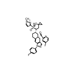 Cn1ccc(S(=O)(=O)N(CC2(O)CC2)[C@H]2CCC3=Cc4c(cnn4-c4ccc(F)cc4)C[C@]3(C(=O)c3cc(F)ccn3)C2)n1